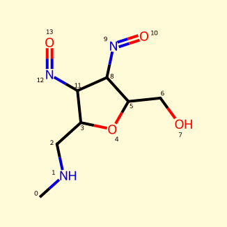 CNCC1OC(CO)C(N=O)C1N=O